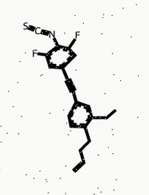 C=CCCc1ccc(C#Cc2cc(F)c(N=C=S)c(F)c2)cc1CC